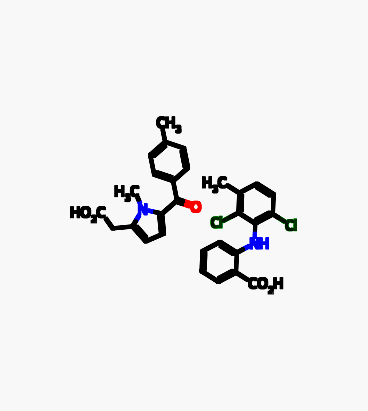 Cc1ccc(C(=O)c2ccc(CC(=O)O)n2C)cc1.Cc1ccc(Cl)c(Nc2ccccc2C(=O)O)c1Cl